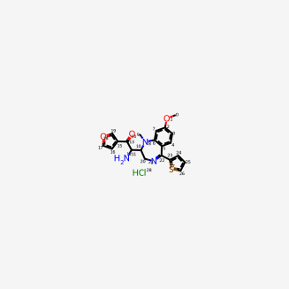 COc1ccc2c(c1)N(C)C(C(N)C(=O)c1ccoc1)CN=C2c1cccs1.Cl